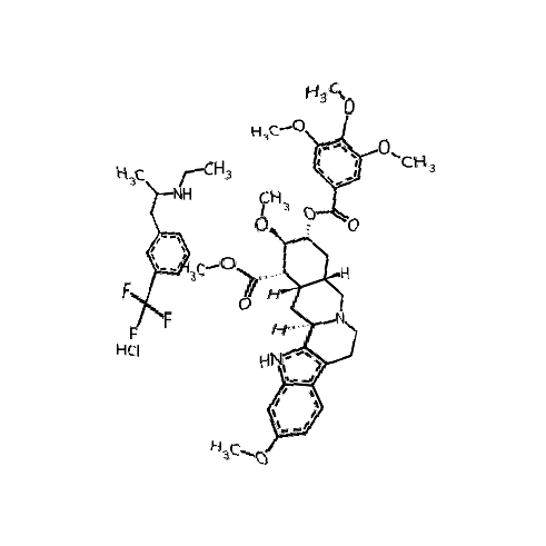 CCNC(C)Cc1cccc(C(F)(F)F)c1.COC(=O)[C@H]1[C@H]2C[C@@H]3c4[nH]c5cc(OC)ccc5c4CCN3C[C@H]2C[C@@H](OC(=O)c2cc(OC)c(OC)c(OC)c2)[C@@H]1OC.Cl